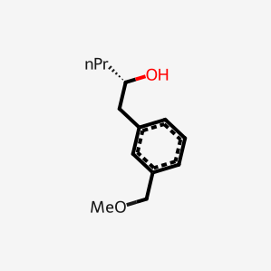 CCC[C@H](O)Cc1cccc(COC)c1